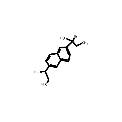 CCC(C)c1ccc2cc(C(C)(Br)CC)ccc2c1